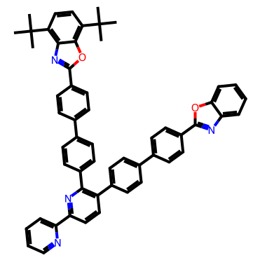 CC(C)(C)c1ccc(C(C)(C)C)c2oc(-c3ccc(-c4ccc(-c5nc(-c6ccccn6)ccc5-c5ccc(-c6ccc(-c7nc8ccccc8o7)cc6)cc5)cc4)cc3)nc12